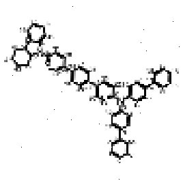 c1ccc(-c2ccc(N(c3ccc(-c4ccccc4)cc3)c3ccc(-c4ccc(-c5ccc(N6c7ccccc7C7CCCCC76)nc5)cc4)cn3)cc2)cc1